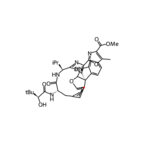 COC(=O)c1nc(-c2nc3oc2[C@@]24c5ccccc5NC2Oc2ccc(cc24)C[C@H](NC(=O)[C@@H](O)C(C)(C)C)C(=O)N[C@H]3C(C)C)oc1C